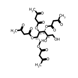 CC(=O)CC(=O)OC[C@H](OC(=O)CC(C)=O)[C@@H](OC(=O)CC(C)=O)[C@H](OC(=O)CC(C)=O)[C@H](O)CO